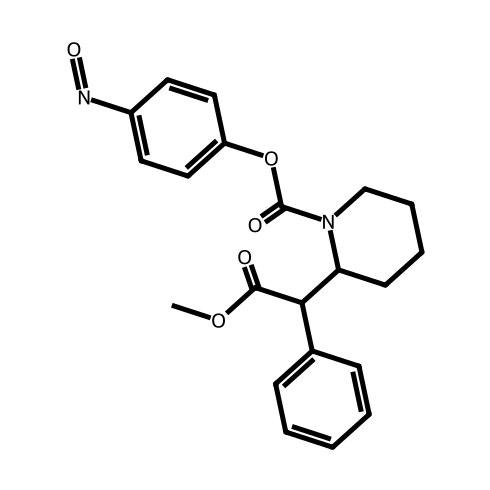 COC(=O)C(c1ccccc1)C1CCCCN1C(=O)Oc1ccc(N=O)cc1